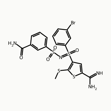 CSc1sc(C(=N)N)cc1S(=O)(=NS(=O)(=O)c1cccc(C(N)=O)c1)c1cccc(Br)c1